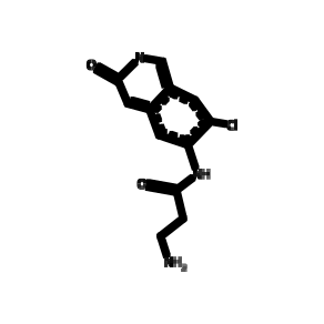 NCCC(=O)Nc1cc2c(cc1Cl)=C[N]C(=O)C=2